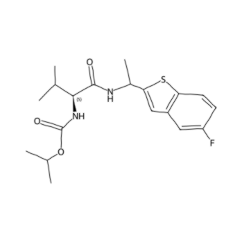 CC(C)OC(=O)N[C@H](C(=O)NC(C)c1cc2cc(F)ccc2s1)C(C)C